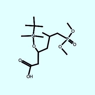 COP(=O)(CC(C)CC(CC(=O)O)O[Si](C)(C)C(C)(C)C)OC